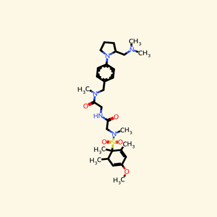 COC1=CC(C)C(C)(S(=O)(=O)N(C)CC(=O)NCC(=O)N(C)Cc2ccc(N3CCCC3CN(C)C)cc2)C(C)=C1